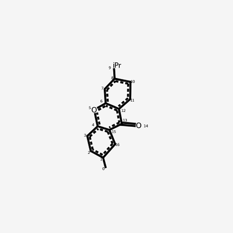 Cc1ccc2oc3cc(C(C)C)ccc3c(=O)c2c1